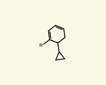 BrC1=CC=CCC1C1CC1